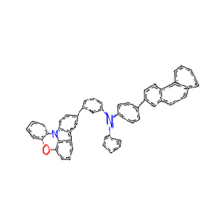 c1ccc(N(c2ccc(-c3ccc4c(ccc5ccccc54)c3)cc2)c2cccc(-c3ccc4c(c3)c3cccc5c3n4-c3ccccc3O5)c2)cc1